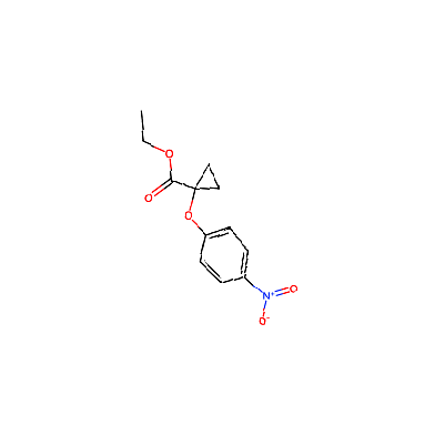 CCOC(=O)C1(Oc2ccc([N+](=O)[O-])cc2)CC1